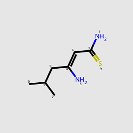 CC(C)C/C(N)=C/C(N)=S